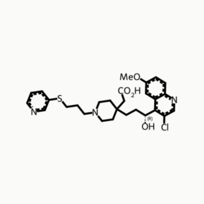 COc1ccc2ncc(Cl)c([C@H](O)CCC3(CC(=O)O)CCN(CCCSc4cccnc4)CC3)c2c1